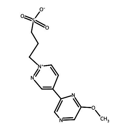 COc1cncc(-c2cc[n+](CCCS(=O)(=O)[O-])nc2)n1